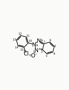 [O-][n+]1c2ccccc2nn1-c1ccccc1Cl